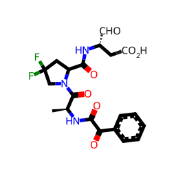 C[C@H](NC(=O)C(=O)c1ccccc1)C(=O)N1CC(F)(F)CC1C(=O)N[C@H](C=O)CC(=O)O